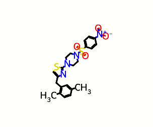 Cc1ccc(C)c(Cc2csc(N3CCN(S(=O)(=O)c4ccc([N+](=O)[O-])cc4)CC3)n2)c1